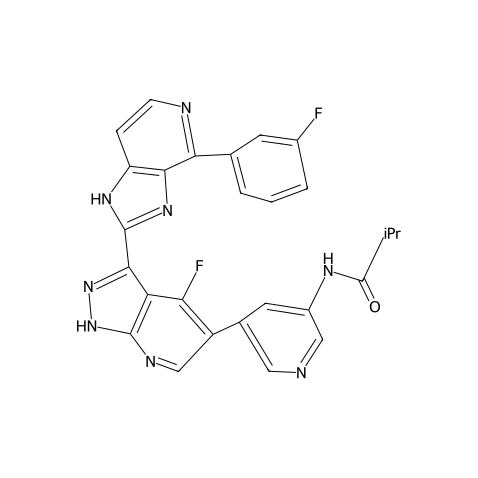 CC(C)C(=O)Nc1cncc(-c2cnc3[nH]nc(-c4nc5c(-c6cccc(F)c6)nccc5[nH]4)c3c2F)c1